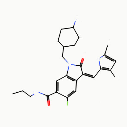 CCCNC(=O)c1cc2c(cc1F)/C(=C/c1[nH]c(C)cc1C)C(=O)N2CC1CCC(N)CC1.Cl